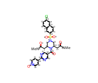 CNC(=O)CC1CN(S(=O)(=O)c2ccc3cc(Cl)ccc3c2)CC(CC(=O)NC)N1C(=O)c1cnc(-c2cc[n+]([O-])cc2)nc1